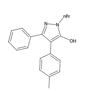 CCCn1nc(-c2ccccc2)c(-c2ccc(C)cc2)c1O